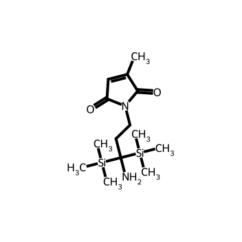 CC1=CC(=O)N(CCC(N)([Si](C)(C)C)[Si](C)(C)C)C1=O